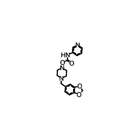 O=C(Nc1cccnc1)ON1CCN(Cc2ccc3c(c2)OCO3)CC1